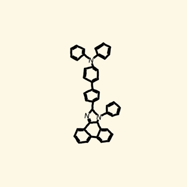 c1ccc(N(c2ccccc2)c2ccc(-c3ccc(C4N=C5c6ccccc6-c6ccccc6C5N4c4ccccc4)cc3)cc2)cc1